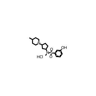 CC1CCN(C2CCC(N(C)S(=O)(=O)c3cccc(O)c3)C2)CC1.Cl